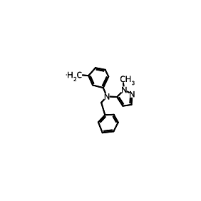 [CH2]c1cccc(N(Cc2ccccc2)c2ccnn2C)c1